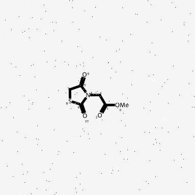 COC(=O)CN1C(=O)CSC1=O